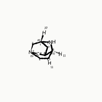 C1[C@@H]2C[N@]3CC[C@H](N2)[C@H]1C3